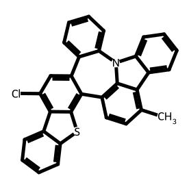 Cc1ccc2c3c1c1ccccc1n3-c1ccccc1-c1cc(Cl)c3c(sc4ccccc43)c1-2